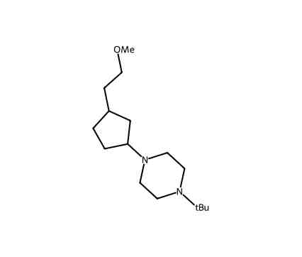 COCCC1CCC(N2CCN(C(C)(C)C)CC2)C1